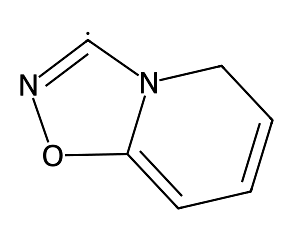 [C]1=NOC2=CC=CCN12